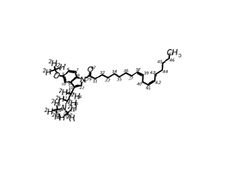 [2H]C([2H])([2H])Oc1ccc2c(c1)c(C([2H])([2H])C([2H])([2H])N(C([2H])([2H])[2H])C([2H])([2H])[2H])cn2C(=O)CCCCCCC/C=C\C/C=C\CCCCC